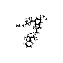 COC(OC(=O)c1cc(C(F)(F)F)cc2cc(CNC(=O)c3cnn4cccnc34)oc12)C(F)(F)F